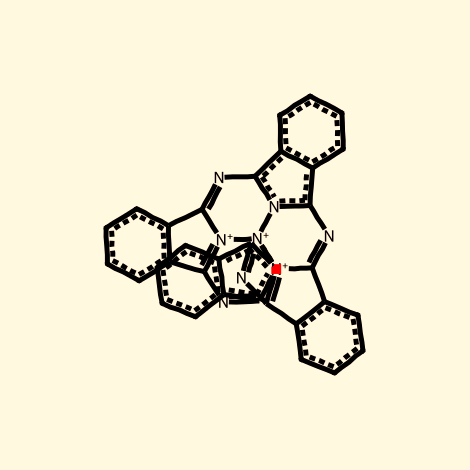 c1ccc2c(c1)C1=Nc3c4ccccc4c4n3[N+]35n6c(c7ccccc7c6=NC6=[N+]3C(=N4)c3ccccc36)=NC2=[N+]15